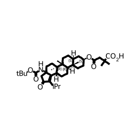 CC(C)C1=C2[C@H]3CC[C@@H]4[C@@]5(C)CC[C@H](OC(=O)CC(C)(C)C(=O)O)C[C@@H]5CC[C@@]4(C)[C@]3(C)CC[C@@]2(NC(=O)OC(C)(C)C)CC1=O